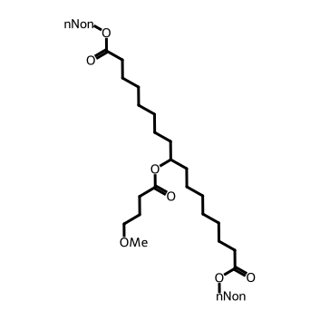 CCCCCCCCCOC(=O)CCCCCCCC(CCCCCCCC(=O)OCCCCCCCCC)OC(=O)CCCOC